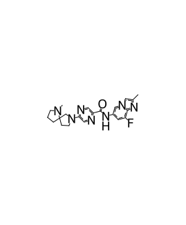 Cc1cn2cc(NC(=O)c3cnc(N4CCC5(CCCN5C)C4)cn3)cc(F)c2n1